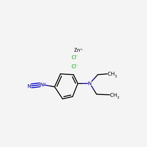 CCN(CC)c1ccc([N+]#N)cc1.[Cl-].[Cl-].[Zn+]